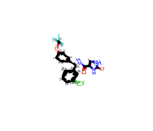 O=C1NCC(C(=O)N[C@@H](c2ccc(OC(F)(F)F)cc2)c2cccc(Cl)c2)N1